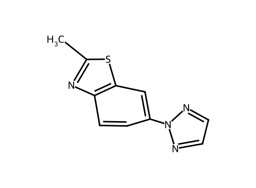 Cc1nc2ccc(-n3nccn3)cc2s1